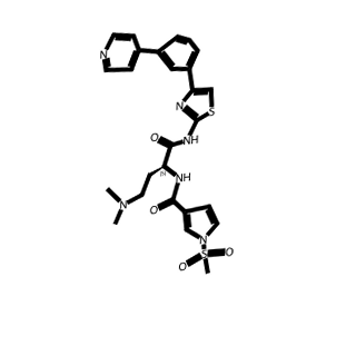 CN(C)CC[C@H](NC(=O)c1ccn(S(C)(=O)=O)c1)C(=O)Nc1nc(-c2cccc(-c3ccncc3)c2)cs1